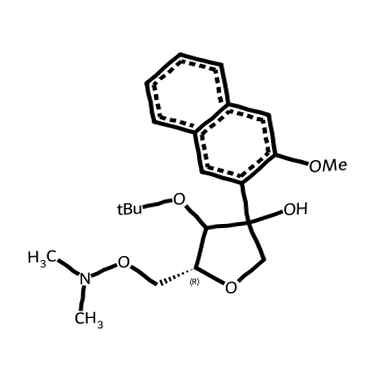 COc1cc2ccccc2cc1C1(O)CO[C@H](CON(C)C)C1OC(C)(C)C